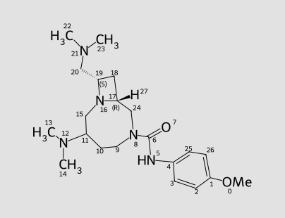 COc1ccc(NC(=O)N2CCC(N(C)C)CN3[C@H](C[C@H]3CN(C)C)C2)cc1